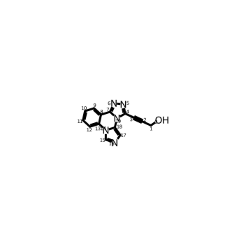 OCC#Cc1nnc2c3ccccc3n3cncc3n12